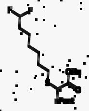 CCCCCC(SCCCCCCC(F)F)C(=O)OCC(C)C